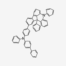 c1ccc(-c2ccc(N(c3ccccc3)c3ccc(-c4ccc5c(c4)C4(c6ccccc6)c6ccccc6N(c6ccccc6)c6cccc-5c64)cc3)cc2)cc1